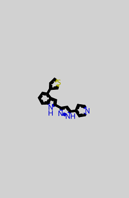 c1cc(-c2ccsc2)c2cc(-c3cc(-c4ccncc4)[nH]n3)[nH]c2c1